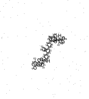 COC(=O)N[C@H](C(=O)N1CCC[C@H]1C(=O)Nc1ccc(-c2ccc(-c3ccc(-c4cnc([C@@H]5CCCN5C(=O)[C@@H](NC(=O)OC)C(C)C)[nH]4)cc3)c3c2C2CCC3C2)cc1)C(C)C